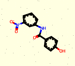 O=C(Nc1cccc([N+](=O)[O-])c1)c1ccc(O)cc1